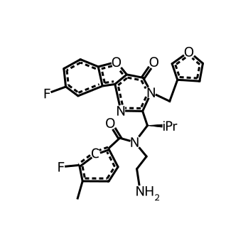 Cc1ccc(C(=O)N(CCN)[C@@H](c2nc3c(oc4ccc(F)cc43)c(=O)n2Cc2ccoc2)C(C)C)cc1F